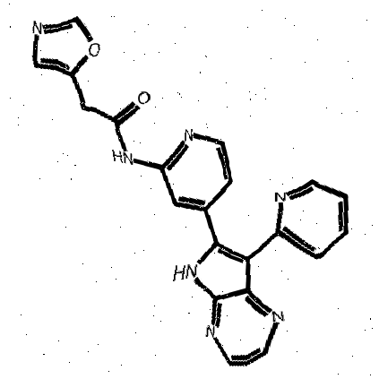 O=C(Cc1cnco1)Nc1cc(-c2[nH]c3nccnc3c2-c2ccccn2)ccn1